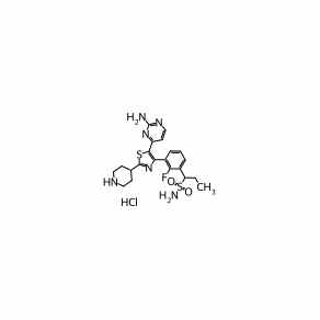 CCC(c1cccc(-c2nc(C3CCNCC3)sc2-c2ccnc(N)n2)c1F)S(N)(=O)=O.Cl